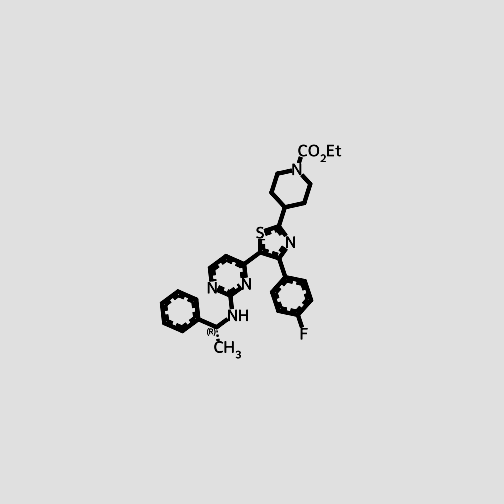 CCOC(=O)N1CCC(c2nc(-c3ccc(F)cc3)c(-c3ccnc(N[C@H](C)c4ccccc4)n3)s2)CC1